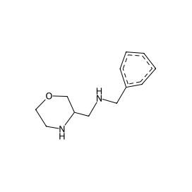 c1ccc(CNCC2COCCN2)cc1